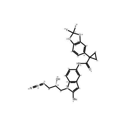 CC(C)(C)c1cc2cc(NC(=O)C3(c4ccc5c(c4)OC(F)(F)O5)CC3)ccc2n1C[C@@H](O)CN=[N+]=[N-]